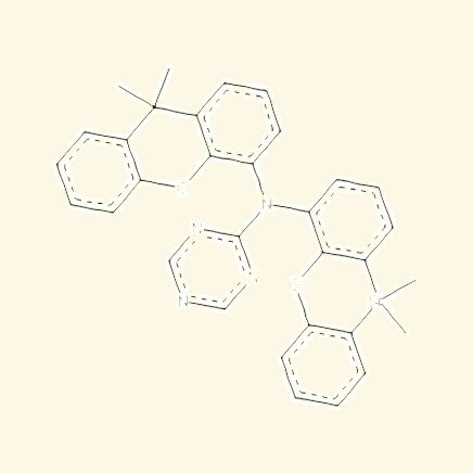 CC1(C)c2ccccc2Oc2c(N(c3ncncn3)c3cccc4c3Oc3ccccc3[Si]4(C)C)cccc21